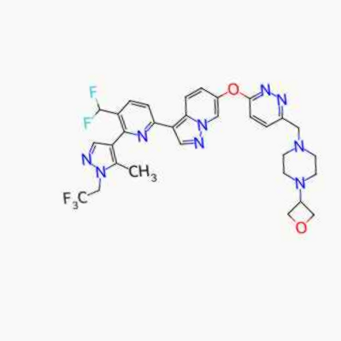 Cc1c(-c2nc(-c3cnn4cc(Oc5ccc(CN6CCN(C7COC7)CC6)nn5)ccc34)ccc2C(F)F)cnn1CC(F)(F)F